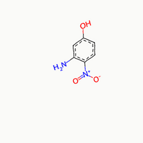 Nc1cc(O)ccc1[N+](=O)[O-]